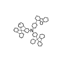 c1ccc(C2(c3ccc(N(c4ccc(-c5cccc6c5oc5ccccc56)cc4)c4ccc5c(c4)-c4ccccc4C54c5ccccc5-c5ccccc54)cc3)c3ccccc3-c3ccccc32)cc1